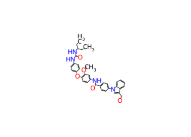 CCC(CC)NC(=O)Nc1ccc(Oc2ccc(NC(=O)c3ccc(-n4cc(C=O)c5ccccc54)cc3)cc2OC)cc1